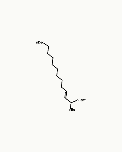 [CH2]CCCCCCCCCCCCCCCCC/C=C/C(CCCC)CCCC[CH2]